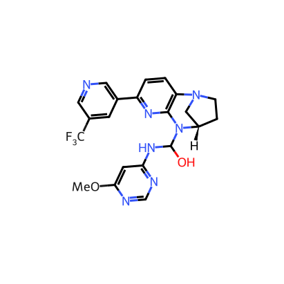 COc1cc(NC(O)N2c3nc(-c4cncc(C(F)(F)F)c4)ccc3N3CC[C@H]2C3)ncn1